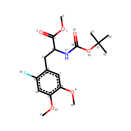 COC(=O)C(Cc1cc(OC)c(OC)cc1F)NC(=O)OC(C)(C)C